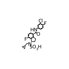 O=C(Nc1ccc(F)c(Cl)c1)c1ccc(F)c2c1CC[C@@H]2N(CC1CC1)S(=O)(=O)O